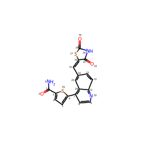 NC(=O)c1ccc(-c2ccnc3ccc(C=C4SC(=O)NC4=O)cc23)s1